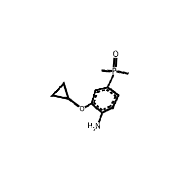 CP(C)(=O)c1ccc(N)c(OC2CC2)c1